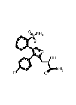 NC(=O)N(O)Cc1occ(-c2ccccc2S(N)(=O)=O)c1-c1ccc(Cl)cc1